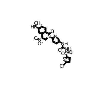 CNc1ccc2c(=O)n(-c3ccc(NC(=O)NS(=O)(=O)c4ccc(Cl)s4)cn3)cc([N+](=O)[O-])c2c1